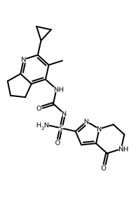 Cc1c(C2CC2)nc2c(c1NC(=O)N=S(N)(=O)c1cc3n(n1)CCNC3=O)CCC2